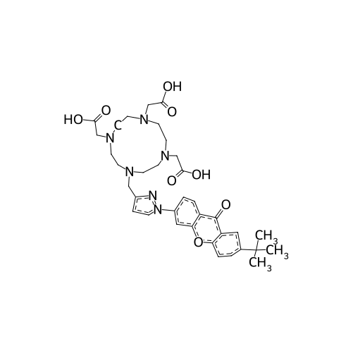 CC(C)(C)c1ccc2oc3cc(-n4ccc(CN5CCN(CC(=O)O)CCN(CC(=O)O)CCN(CC(=O)O)CC5)n4)ccc3c(=O)c2c1